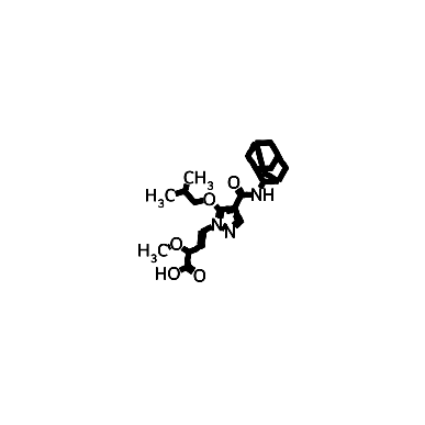 COC(/C=C/n1ncc(C(=O)NC2C3CC4CC(C3)CC2C4)c1OCC(C)C)C(=O)O